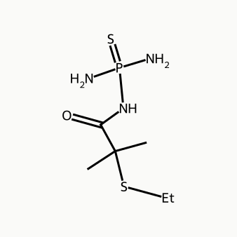 CCSC(C)(C)C(=O)NP(N)(N)=S